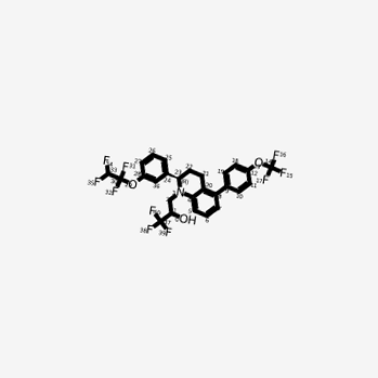 OC(CN1c2cccc(-c3ccc(OC(F)(F)F)cc3)c2CC[C@@H]1c1cccc(OC(F)(F)C(F)F)c1)C(F)(F)F